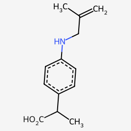 C=C(C)CNc1ccc(C(C)C(=O)O)cc1